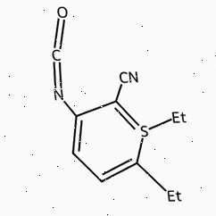 CCC1=CC=C(N=C=O)C(C#N)=S1CC